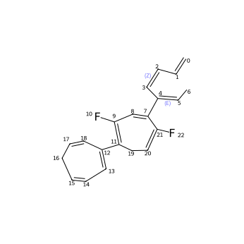 C=C/C=C\C(=C/C)C1=CC(F)=C(C2=CC=CCC=C2)CC=C1F